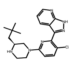 CC(C)(C)C[C@H]1CN(c2ccc(Cl)c(-c3n[nH]c4ncccc34)n2)CCN1